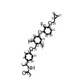 CC(=O)NC(C)c1ccc(OCc2c(F)cc(Oc3cccc(OCC4CC4)c3F)cc2F)cc1